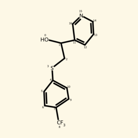 OC(CSc1ccc(C(F)(F)F)cc1)c1cccnc1